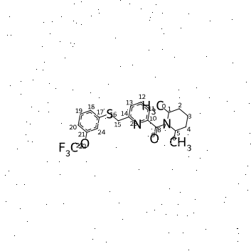 CC1CCCC(C)N1C(=O)c1cccc(CSc2cccc(OC(F)(F)F)c2)n1